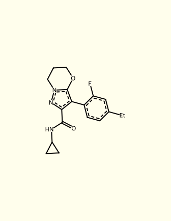 CCc1ccc(-c2c(C(=O)NC3CC3)nn3c2OCCC3)c(F)c1